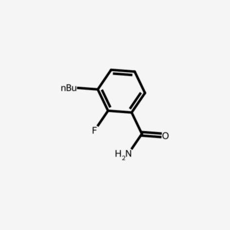 CCCCc1cccc(C(N)=O)c1F